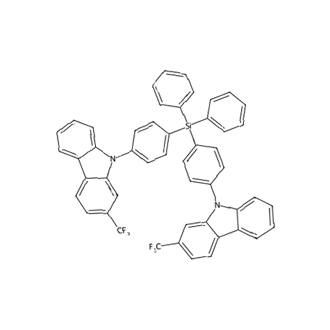 FC(F)(F)c1ccc2c3ccccc3n(-c3ccc([Si](c4ccccc4)(c4ccccc4)c4ccc(-n5c6ccccc6c6ccc(C(F)(F)F)cc65)cc4)cc3)c2c1